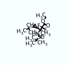 CCOC(=O)C(F)(F)[C@](C)(N[S@+]([O-])C(C)(C)C)[C@@H]1C[C@H]1C(C)(C)C